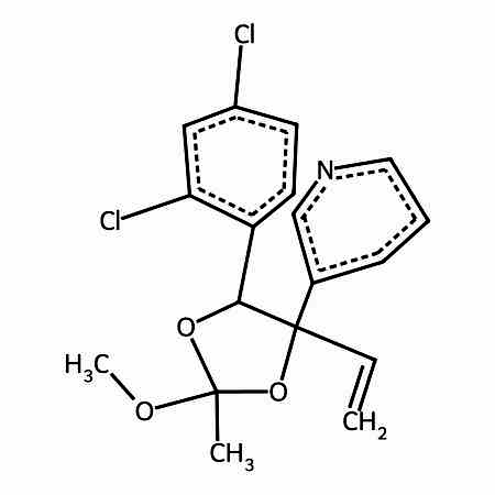 C=CC1(c2cccnc2)OC(C)(OC)OC1c1ccc(Cl)cc1Cl